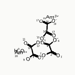 O.O=C([O-])C(=O)[O-].O=C([O-])C(=O)[O-].O=C([O-])C(=O)[O-].[Am+3].[Am+3]